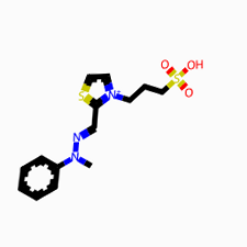 CN(N=Cc1scc[n+]1CCCS(=O)(=O)O)c1ccccc1